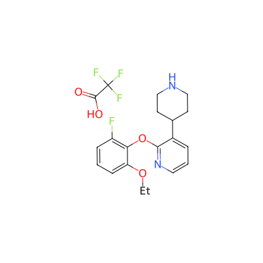 CCOc1cccc(F)c1Oc1ncccc1C1CCNCC1.O=C(O)C(F)(F)F